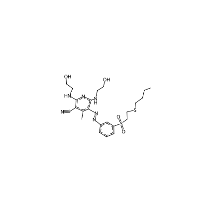 CCCCSCCS(=O)(=O)c1cccc(/N=N/c2c(NCCO)nc(NCCO)c(C#N)c2C)c1